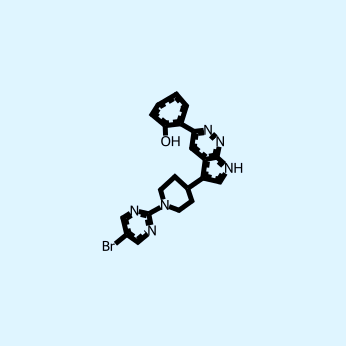 Oc1ccccc1-c1cc2c(C3CCN(c4ncc(Br)cn4)CC3)c[nH]c2nn1